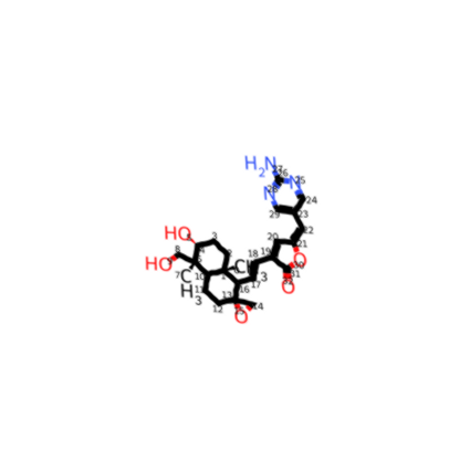 C[C@]12CC[C@@H](O)[C@@](C)(CO)C1CCC1(CO1)C2/C=C/C1=CC(=C\c2cnc(N)nc2)/OC1=O